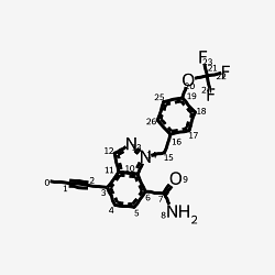 CC#Cc1ccc(C(N)=O)c2c1cnn2Cc1ccc(OC(F)(F)F)cc1